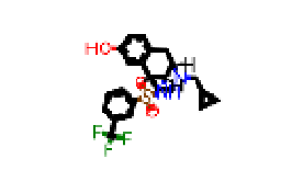 C[C@@]12CCN(CC3CC3)[C@H](Cc3ccc(O)cc31)[C@H]2NS(=O)(=O)c1cccc(C(F)(F)F)c1